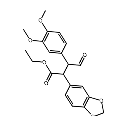 CCOC(=O)C(c1ccc2c(c1)OCO2)C(C=O)c1ccc(OC)c(OC)c1